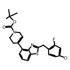 CC(C)(C)OC(=O)N1CC=C(c2cccc3sc(Cc4ccc(Cl)cc4F)nc23)CC1